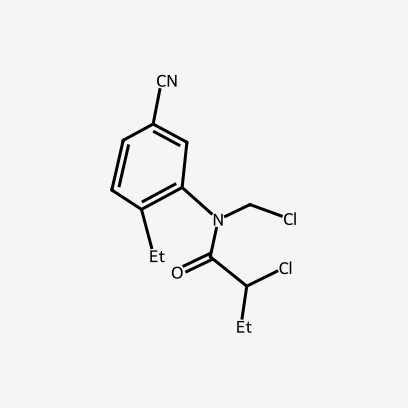 CCc1ccc(C#N)cc1N(CCl)C(=O)C(Cl)CC